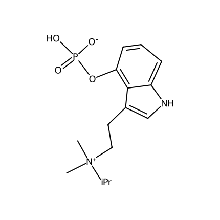 CC(C)[N+](C)(C)CCc1c[nH]c2cccc(OP(=O)([O-])O)c12